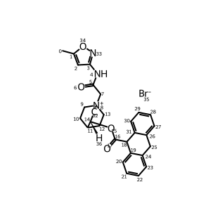 Cc1cc(NC(=O)C[N+]23CCC(CC2)[C@@H](OC(=O)C2c4ccccc4Cc4ccccc42)C3)no1.[Br-]